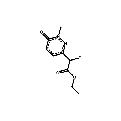 CCOC(=O)C(F)c1ccc(=O)n(C)n1